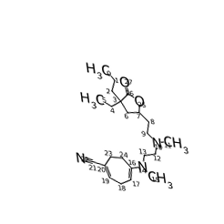 CCCC1(CC)CC(CCN(C)CCN(C)C2=CCC=C(C#N)CC2)OC1=O